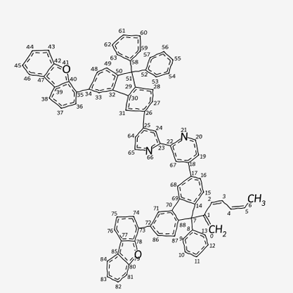 C=C(/C=C\C=C/C)C1(c2ccccc2)c2ccc(-c3ccnc(-c4cc(-c5ccc6c(c5)-c5cc(-c7cccc8c7oc7ccccc78)ccc5C6(c5ccccc5)c5ccccc5)ccn4)c3)cc2-c2cc(-c3cccc4c3oc3ccccc34)ccc21